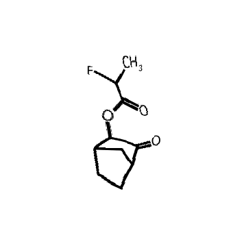 CC(F)C(=O)OC1C(=O)C2CCC1C2